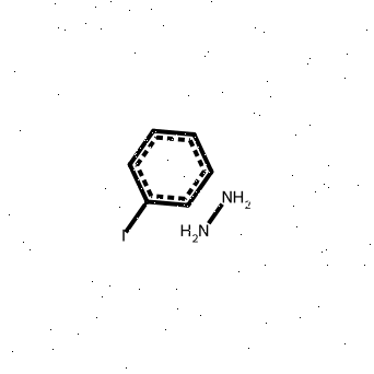 Ic1ccccc1.NN